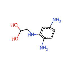 Nc1ccc(N)c(NCC(O)O)c1